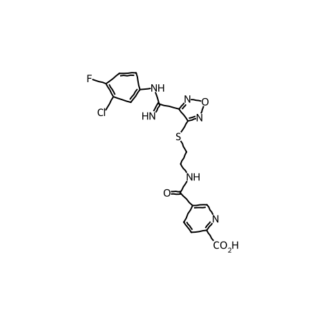 N=C(Nc1ccc(F)c(Cl)c1)c1nonc1SCCNC(=O)c1ccc(C(=O)O)nc1